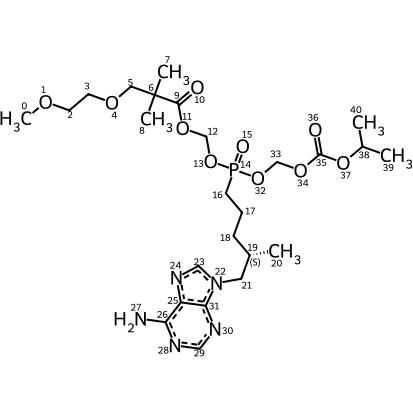 COCCOCC(C)(C)C(=O)OCOP(=O)(CCC[C@H](C)Cn1cnc2c(N)ncnc21)OCOC(=O)OC(C)C